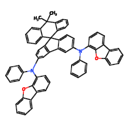 CC1(C)c2ccccc2C2(c3ccc(N(c4ccccc4)c4cccc5c4oc4ccccc45)cc3-c3cc(N(c4ccccc4)c4cccc5c4oc4ccccc45)ccc32)c2ccccc21